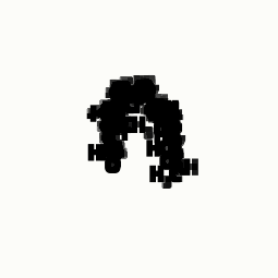 CNC(=O)C[C@@H](O)CNCc1cnc2cc(-c3cccc(-c4cccc(-c5cc(F)c(CNC[C@H]6CCC(=O)N6)c(OC)n5)c4Cl)c3Cl)ccn2c1=O